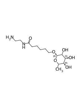 CC1O[C@@H](OCCCCCC(=O)NCCN)C(O)[C@@H](O)[C@H]1O